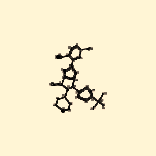 O=C1c2nn(-c3cc(F)ccc3O)cc2C(c2ccc(C(F)(F)F)cc2)N1C1CCOCC1